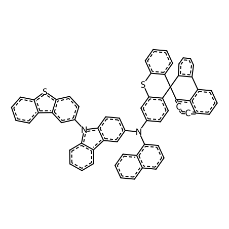 c1ccc2c(c1)Sc1cc(N(c3ccc4c(c3)c3ccccc3n4-c3ccc4sc5ccccc5c4c3)c3cccc4ccccc34)ccc1C21c2ccccc2-c2cccc3cccc1c23